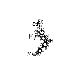 CCN(CC)CCN1CCc2[nH]c(/C=C3\C(=O)Nc4ccc(-c5ccc(OC)cc5)cc43)c(C)c2C1=O